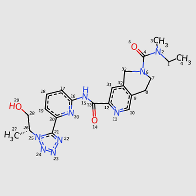 CCN(C)C(=O)N1CCc2cnc(C(=O)Nc3cccc(-c4nnnn4[C@H](C)CO)n3)cc2C1